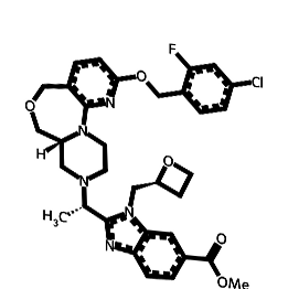 COC(=O)c1ccc2nc([C@H](C)N3CCN4c5nc(OCc6ccc(Cl)cc6F)ccc5COC[C@H]4C3)n(C[C@@H]3CCO3)c2c1